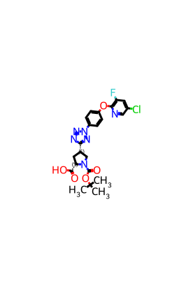 CC(C)(C)OC(=O)N1C[C@@H](c2nnn(-c3ccc(Oc4ncc(Cl)cc4F)cc3)n2)C[C@H]1C(=O)O